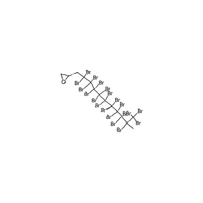 CC(Br)(C(Br)(Br)Br)C(Br)(Br)C(Br)(Br)C(Br)(Br)C(Br)(Br)C(Br)(Br)C(Br)(Br)C(Br)(Br)C(Br)(Br)CC1CO1